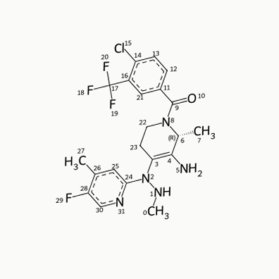 CNN(C1=C(N)[C@@H](C)N(C(=O)c2ccc(Cl)c(C(F)(F)F)c2)CC1)c1cc(C)c(F)cn1